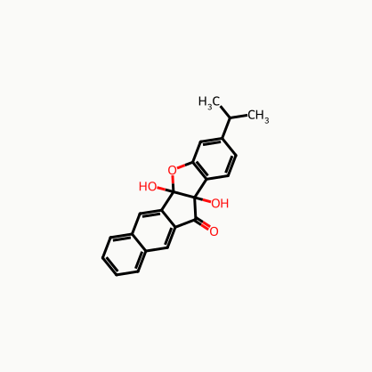 CC(C)c1ccc2c(c1)OC1(O)c3cc4ccccc4cc3C(=O)C21O